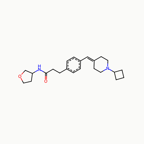 O=C(CCc1ccc(C=C2CCN(C3CCC3)CC2)cc1)NC1CCOC1